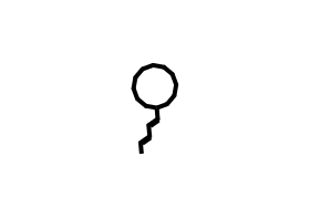 CC=CC=CC1CCCCCCCCCCC1